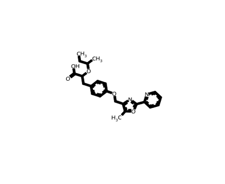 CCC(C)OC(Cc1ccc(OCc2nc(-c3ccccn3)oc2C)cc1)C(=O)O